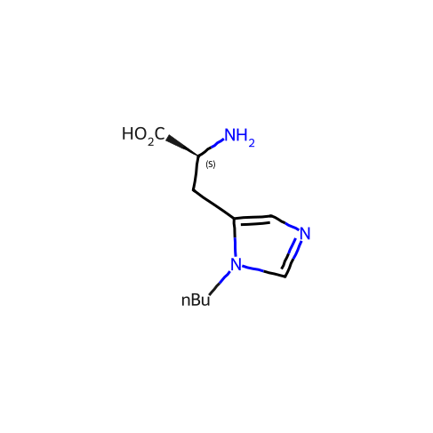 CCCCn1cncc1C[C@H](N)C(=O)O